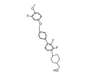 COc1ccc(OCc2ccc(-c3ccc(C4CCC(CO)CC4)c(F)c3F)cc2)cc1F